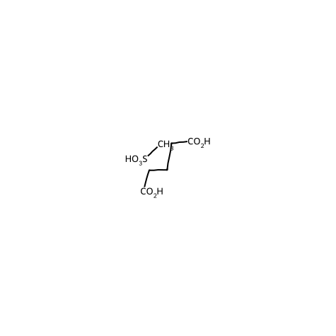 CS(=O)(=O)O.O=C(O)CCCC(=O)O